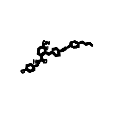 CCCCc1ccc(C#Cc2ccc(Cc3nc(O)ccc3C(=O)NCc3ccc([O])cc3)cc2)cc1